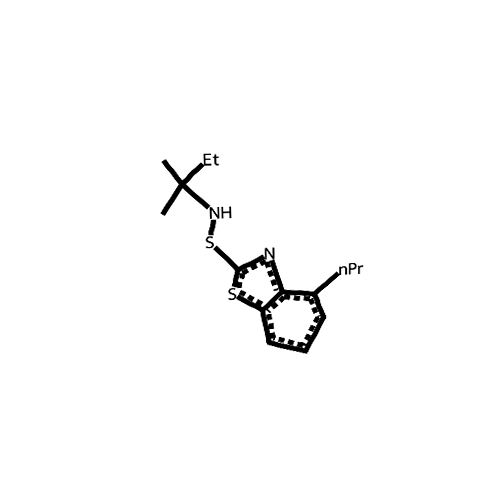 CCCc1cccc2sc(SNC(C)(C)CC)nc12